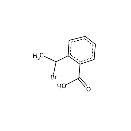 CC(Br)c1ccccc1C(=O)O